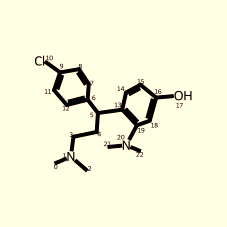 CN(C)CCC(c1ccc(Cl)cc1)c1ccc(O)cc1N(C)C